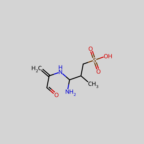 C=C(C=O)NC(N)C(C)CS(=O)(=O)O